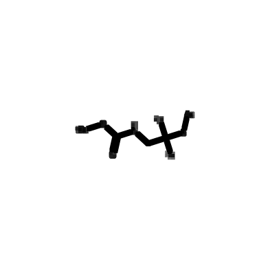 [2H]C([2H])(CNC(=O)OC(C)(C)C)SC(C)=O